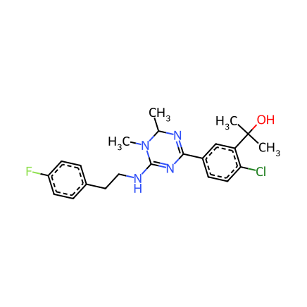 CC1N=C(c2ccc(Cl)c(C(C)(C)O)c2)N=C(NCCc2ccc(F)cc2)N1C